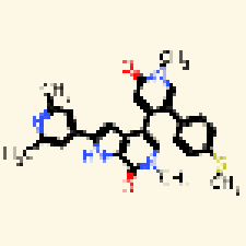 CSc1ccc(-c2cn(C)c(=O)cc2-c2cn(C)c(=O)c3[nH]c(-c4cc(C)nc(C)c4)cc23)cc1